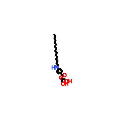 CCCCCCCCCCCCCCCCNc1ccc(C(=O)OC(CO)CO)cc1